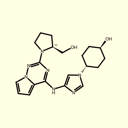 OC[C@@H]1CCCN1c1nc(Nc2cn([C@H]3CC[C@H](O)CC3)cn2)c2cccn2n1